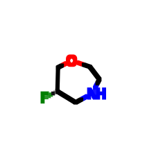 F[C@H]1CNCCOC1